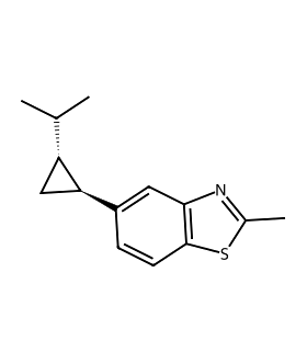 Cc1nc2cc([C@H]3C[C@@H]3C(C)C)ccc2s1